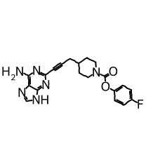 Nc1nc(C#CCC2CCN(C(=O)Oc3ccc(F)cc3)CC2)nc2[nH]cnc12